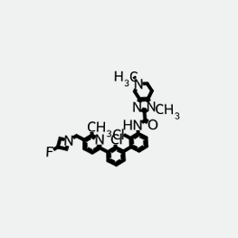 Cc1nc(-c2cccc(-c3cccc(NC(=O)c4nc5c(n4C)CCN(C)C5)c3Cl)c2Cl)ccc1CN1CC(F)C1